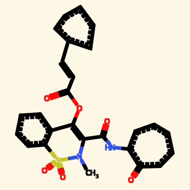 CN1C(C(=O)Nc2cccccc2=O)=C(OC(=O)C=Cc2ccccc2)c2ccccc2S1(=O)=O